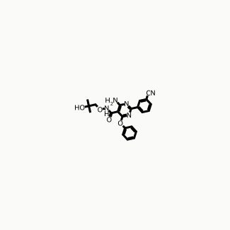 CC(C)(O)CONC(=O)c1c(N)nc(-c2cccc(C#N)c2)nc1Oc1ccccc1